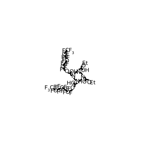 CCOCC(O)CN1CCN(CC(O)COCC)CCN(CC(O)COCC(F)(F)OC(F)(F)C(F)(F)OC(F)(F)C(F)(F)OC(F)(F)C(F)(F)F)CCN(CC(O)COCC(F)(F)OC(F)(F)C(F)(F)OC(F)(F)C(F)(F)OC(F)(F)C(F)(F)F)CC1